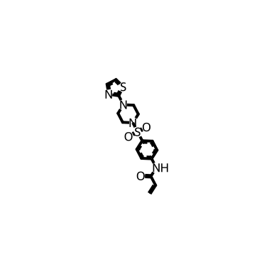 C=CC(=O)Nc1ccc(S(=O)(=O)N2CCN(c3nccs3)CC2)cc1